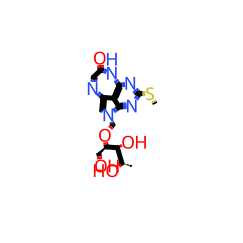 CSc1nc2c3c(cn(CO[C@H](CO)[C@@H](O)[C@H](C)O)c3n1)N=CC(=O)N2